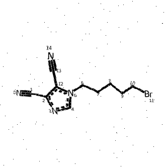 N#Cc1ncn(CCCCCBr)c1C#N